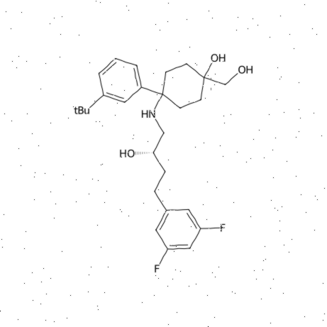 CC(C)(C)c1cccc(C2(NC[C@@H](O)CCc3cc(F)cc(F)c3)CCC(O)(CO)CC2)c1